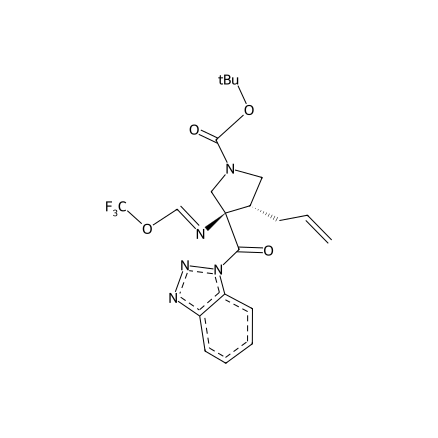 C=CC[C@H]1CN(C(=O)OC(C)(C)C)C[C@@]1(N=COC(F)(F)F)C(=O)n1nnc2ccccc21